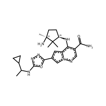 CC(Nc1nnc(-c2cc3c(N[C@@H]4CC[C@](C)(N)C4(C)C)c(C(N)=O)cnn3c2)o1)C1CC1